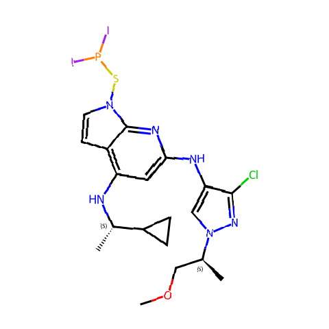 COC[C@H](C)n1cc(Nc2cc(N[C@@H](C)C3CC3)c3ccn(SP(I)I)c3n2)c(Cl)n1